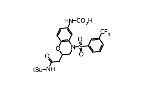 CC(C)(C)NC(=O)CC1CN(S(=O)(=O)c2cccc(C(F)(F)F)c2)c2cc(NC(=O)O)ccc2O1